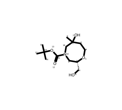 CC1(O)CCO[C@H](CO)CN(C(=O)OC(C)(C)C)C1